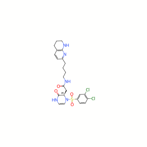 O=C(C[C@@H]1C(=O)NC=CN1S(=O)(=O)c1ccc(Cl)c(Cl)c1)NCCCCc1ccc2c(n1)NCCC2